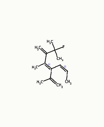 C=C(C)C(/C=C\C)=C(\C)C(=C)C(C)(C)F